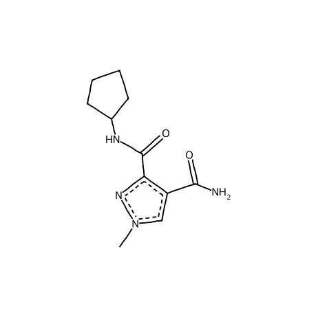 Cn1cc(C(N)=O)c(C(=O)NC2CCCC2)n1